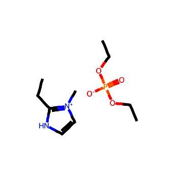 CCOP(=O)([O-])OCC.CCc1[nH]cc[n+]1C